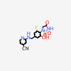 N#Cc1ccnc(NCc2cc(O)c(N3CC(=O)NS3(=O)=O)c(F)c2)c1